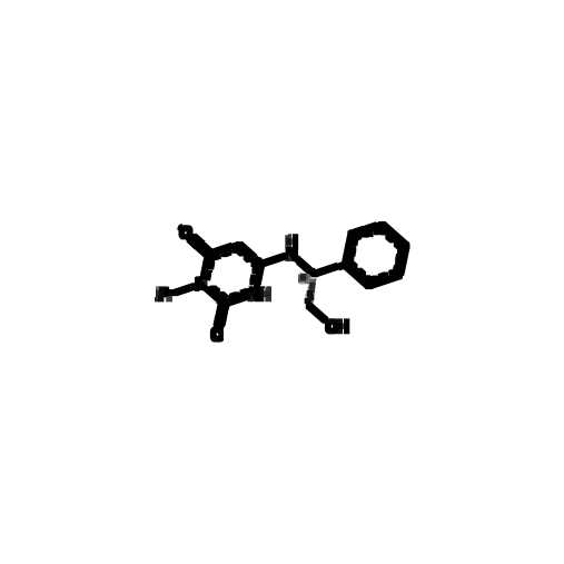 CC(C)n1c(=O)cc(N[C@@H](CO)c2ccccc2)[nH]c1=O